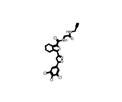 C#CCNC(=O)CNC(=O)c1sc(C2=NOC(c3cc(Cl)c(Cl)c(Cl)c3)C2)c2c1CCCC2